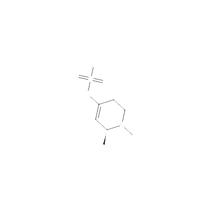 C[C@H]1C=C(OS(=O)(=O)C(F)(F)F)CCN1C